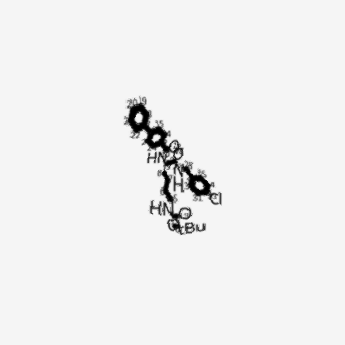 CC(C)(C)OC(=O)NCCCC[C@H](NC(=O)c1ccc(-c2ccccc2)cc1)C(=O)NCc1ccc(Cl)cc1